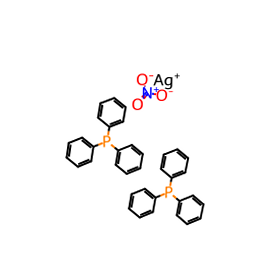 O=[N+]([O-])[O-].[Ag+].c1ccc(P(c2ccccc2)c2ccccc2)cc1.c1ccc(P(c2ccccc2)c2ccccc2)cc1